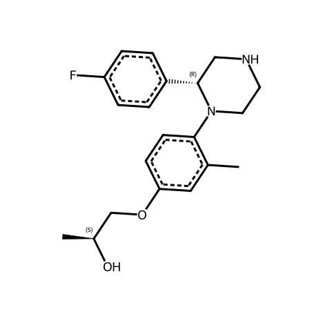 Cc1cc(OC[C@H](C)O)ccc1N1CCNC[C@H]1c1ccc(F)cc1